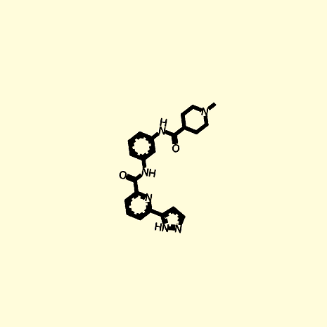 CN1CCC(C(=O)Nc2cccc(NC(=O)c3cccc(-c4ccn[nH]4)n3)c2)CC1